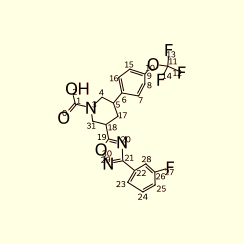 O=C(O)N1CC(c2ccc(OC(F)(F)F)cc2)CC(c2nc(-c3cccc(F)c3)no2)C1